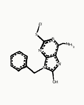 CCSc1nc(N)c2nc(O)n(Cc3ccccc3)c2n1